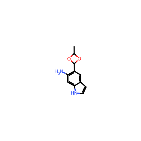 CC1OC(c2cc3cc[nH]c3cc2N)O1